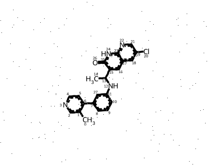 Cc1cnccc1-c1cccc(NC(C)c2cc3cc(Cl)cnc3[nH]c2=O)c1